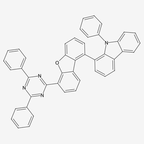 c1ccc(-c2nc(-c3ccccc3)nc(-c3cccc4c3oc3cccc(-c5cccc6c7ccccc7n(-c7ccccc7)c56)c34)n2)cc1